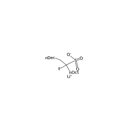 CCCCCCCCCCCC(F)(CCCCCCCC)S(=O)(=O)[O-].[Li+]